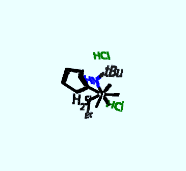 CC[SiH2][Ti]([CH3])([CH3])([CH3])([CH3])([NH]C(C)(C)C)[C]1=CC=CC1.Cl.Cl